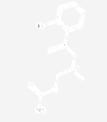 CC(C)c1ccccc1C(=O)C[C@H](C)COC(N)=O